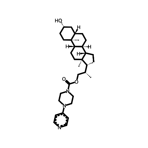 C[C@H](COC(=O)N1CCN(c2ccncc2)CC1)[C@H]1CC[C@H]2[C@@H]3CC[C@H]4C[C@@H](O)CC[C@]4(C)[C@H]3CC[C@]12C